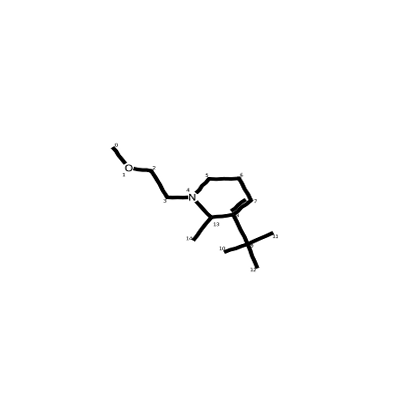 COCCN1CCC=C(C(C)(C)C)C1C